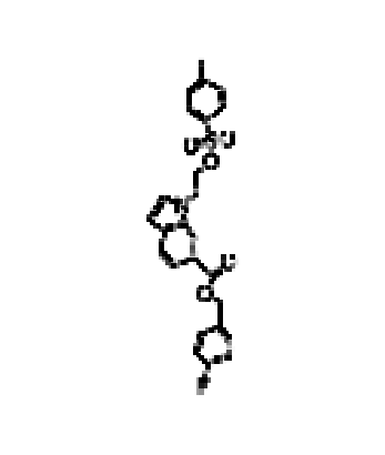 Cc1ccc(S(=O)(=O)OCCn2ccc3ccc(C(=O)OCc4ccc(F)cc4)cc32)cc1